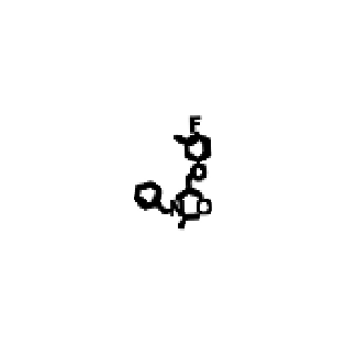 CC1=C(F)C=CC(OCC2COCC(C)N(Cc3ccccc3)C2)C1